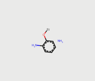 CCOc1ccccc1N.N